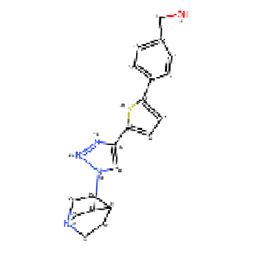 OCc1ccc(-c2ccc(-c3cn(C4CN5CCC4CC5)nn3)s2)cc1